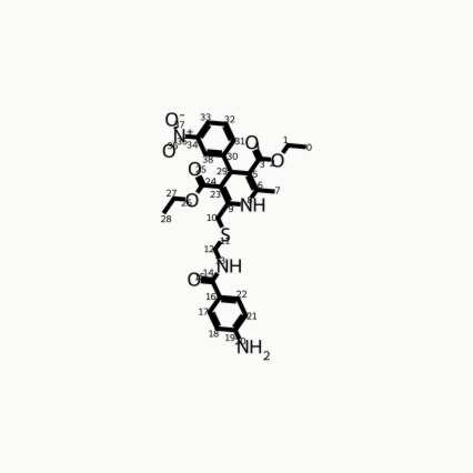 CCOC(=O)C1=C(C)NC(CSCNC(=O)c2ccc(N)cc2)=C(C(=O)OCC)C1c1cccc([N+](=O)[O-])c1